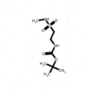 CNS(=O)(=O)CCNC(=O)OC(C)(C)C